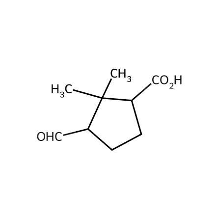 CC1(C)C(C=O)CCC1C(=O)O